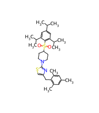 Cc1cc(C)c(Cc2csc(N3CCC(S(=O)(=O)c4c(C(C)C)cc(C(C)C)cc4C(C)C)CC3)n2)c(C)c1